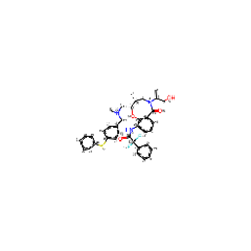 CC(CO)N1C[C@@H](C)[C@@H](CN(C)Cc2ccc(Sc3ccccc3)cc2)Oc2c(NC(=O)C(F)(F)c3ccccc3)cccc2C1=O